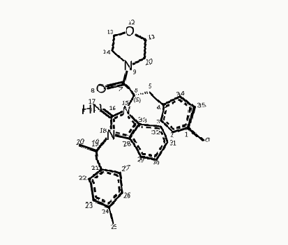 Cc1ccc(C[C@@H](C(=O)N2CCOCC2)n2c(=N)n(C(C)c3ccc(C)cc3)c3ccccc32)cc1